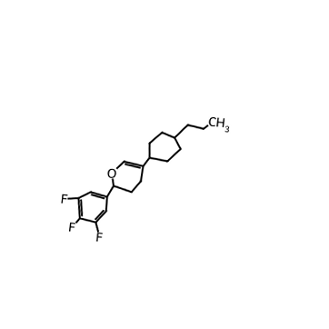 CCCC1CCC(C2=COC(c3cc(F)c(F)c(F)c3)CC2)CC1